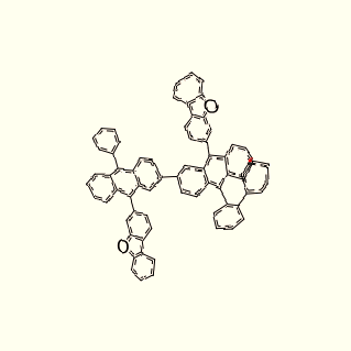 c1ccc(-c2ccccc2-c2c3ccccc3c(-c3ccc4c(c3)oc3ccccc34)c3cc(-c4ccc5c(-c6ccccc6)c6ccccc6c(-c6ccc7c(c6)oc6ccccc67)c5c4)ccc23)cc1